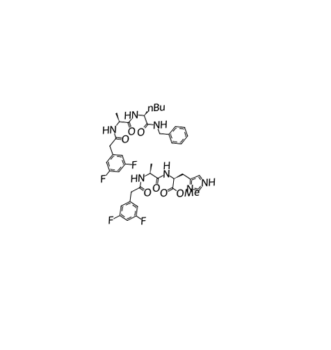 CCCC[C@H](NC(=O)[C@H](C)NC(=O)Cc1cc(F)cc(F)c1)C(=O)NCc1ccccc1.COC(=O)[C@H](Cc1c[nH]cn1)NC(=O)[C@H](C)NC(=O)Cc1cc(F)cc(F)c1